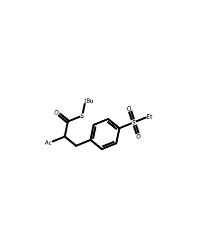 CCS(=O)(=O)c1ccc(CC(C(C)=O)C(=O)SC(C)(C)C)cc1